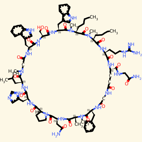 CCCC[C@H]1C(=O)N(C)[C@@H](CCCC)C(=O)N[C@@H](CCCNC(=N)N)C(=O)N[C@H](C(=O)NCC(N)=O)CCC(=O)NCC(=O)N[C@@H](Cc2ccccc2)C(=O)N(C)[C@@H](C)C(=O)N[C@@H](CC(N)=O)C(=O)N2CCC[C@H]2C(=O)N[C@@H](Cc2cnc[nH]2)C(=O)N[C@@H](CC(C)C)C(=O)N(C)CC(=O)N[C@@H](Cc2c[nH]c3ccccc23)C(=O)N[C@@H](CO)C(=O)N[C@@H](Cc2c[nH]c3ccccc23)C(=O)N1C